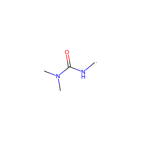 [CH2]NC(=O)N(C)C